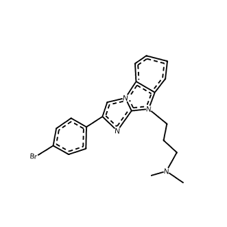 CN(C)CCCn1c2ccccc2n2cc(-c3ccc(Br)cc3)nc12